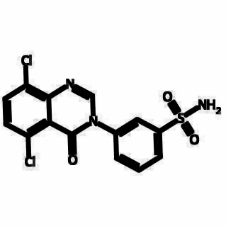 NS(=O)(=O)c1cccc(-n2cnc3c(Cl)ccc(Cl)c3c2=O)c1